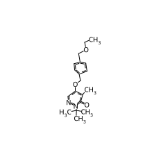 CCOCc1ccc(COc2cnn(C(C)(C)C)c(=O)c2C)cc1